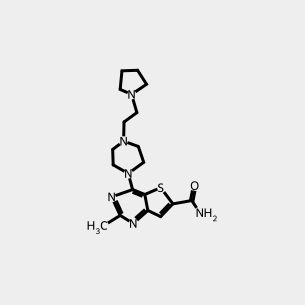 Cc1nc(N2CCN(CCN3CCCC3)CC2)c2sc(C(N)=O)cc2n1